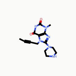 CC#CCn1c(N2CCNCC2)nc2c1C(=O)[N]C(=O)N2C